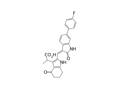 CC(C(=O)O)c1c(/C=C2\C(=O)Nc3cc(-c4ccc(F)cc4)ccc32)[nH]c2c1C(=O)CCC2